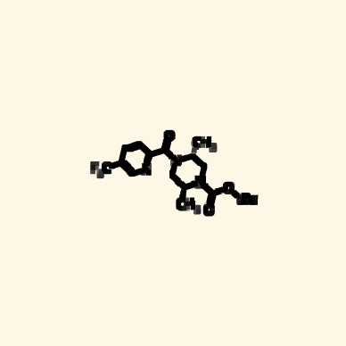 C[C@@H]1CN(C(=O)OC(C)(C)C)[C@@H](C)CN1C(=O)c1ccc(C(F)(F)F)cn1